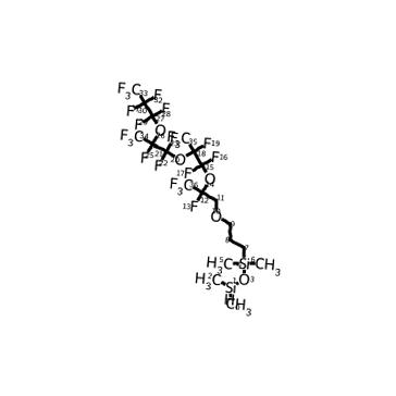 C[SiH](C)O[Si](C)(C)CCCOCC(F)(OC(F)(F)C(F)(OC(F)(F)C(F)(OC(F)(F)C(F)(F)C(F)(F)F)C(F)(F)F)C(F)(F)F)C(F)(F)F